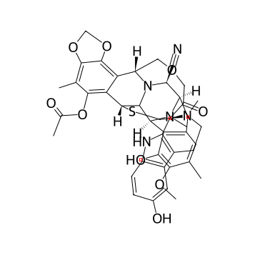 COc1c(C)cc2c(c1O)[C@H]1C3[C@@H]4SC[C@]5(C(=O)COC[C@@H](c6c7c(c(C)c(OC(C)=O)c64)OCO7)N3[C@@H](C#N)[C@@H](C2)N1C)c1[nH]c2ccc(O)cc2c1CCN5C